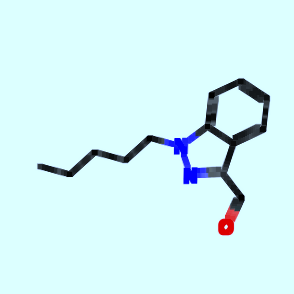 CCCCCn1nc(C=O)c2ccccc21